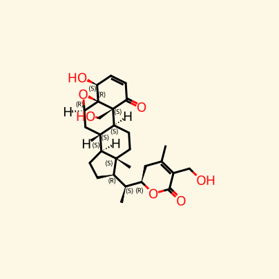 CC1=C(CO)C(=O)O[C@@H]([C@@H](C)[C@H]2CC[C@H]3[C@@H]4C[C@H]5O[C@]56[C@@H](O)C=CC(=O)[C@]6(CO)[C@H]4CC[C@]23C)C1